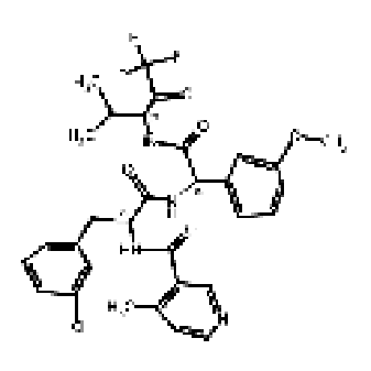 COc1cccc([C@H](NC(=O)[C@H](Cc2cccc(Cl)c2)NC(=O)c2cnccc2C)C(=O)N[C@H](C(=O)C(F)(F)F)C(C)C)c1